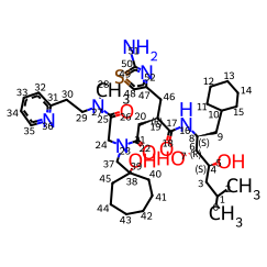 CC(C)C[C@H](O)[C@H](O)[C@H](CC1CCCCC1)NC(=O)[C@@H](CC(=O)N(CC(=O)N(C)CCc1ccccn1)CC1(O)CCCCCC1)Cc1csc(N)n1